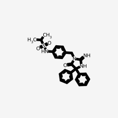 CC(C)S(=O)(=O)Nc1ccc(CN2C(=N)NC(c3ccccc3)(c3ccccc3)C2=O)cc1